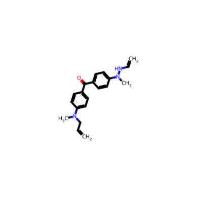 C=CCN(C)c1ccc(C(=O)c2ccc(N(C)NC=C)cc2)cc1